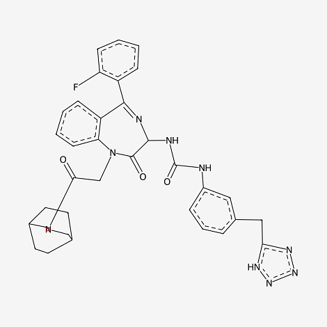 O=C(Nc1cccc(Cc2nnn[nH]2)c1)NC1N=C(c2ccccc2F)c2ccccc2N(CC(=O)N2CC3CCC(CC3)C2)C1=O